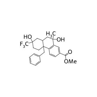 COC(=O)c1ccc2c(c1)C(C)(O)CC1CC(O)(C(F)(F)F)CCC21Cc1ccccc1